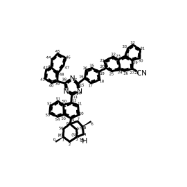 C[C@@H]1C[C@@H]2C[C@H](C)CC(c3ccc(-c4nc(-c5ccc(-c6ccc7c(c6)cc(C#N)c6ccccc67)cc5)nc(-c5cccc6ccccc56)n4)c4ccccc34)(C1)C2